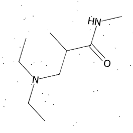 CCN(CC)CC(C)C(=O)NC